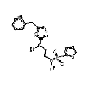 CCN(CCN(CC)S(=O)(=O)c1cccs1)c1nc(Cc2ccccc2)ns1